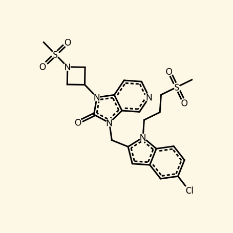 CS(=O)(=O)CCCn1c(Cn2c(=O)n(C3CN(S(C)(=O)=O)C3)c3ccncc32)cc2cc(Cl)ccc21